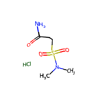 CN(C)S(=O)(=O)CC(N)=O.Cl